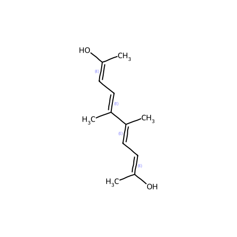 C\C(O)=C/C=C(C)/C(C)=C/C=C(\C)O